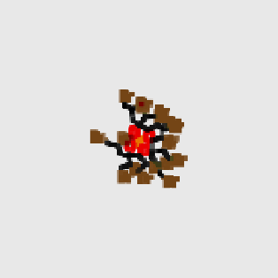 O=P(OC(CC(Br)CBr)(CC(Br)CBr)C(Br)CBr)(OC(CC(Br)CBr)(CC(Br)CBr)C(Br)CBr)OC(CC(Br)CBr)(CC(Br)CBr)C(Br)CBr